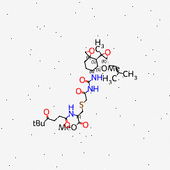 COC(=O)[C@H](CSCC(=O)NC(=O)N[C@@H]1CC[C@]2(CO2)[C@@H](C2(C)O[C@@H]2CC=C(C)C)[C@@H]1OC)NC(=O)CCC(=O)C(C)(C)C